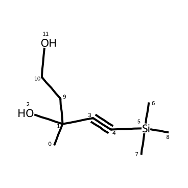 CC(O)(C#C[Si](C)(C)C)CCO